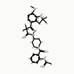 COc1ccc(C2=NN(C3CCN(C(=O)c4ccccc4OC(C)=O)CC3)C(=O)C2(C)C)c2c1OC(C)(C)C2